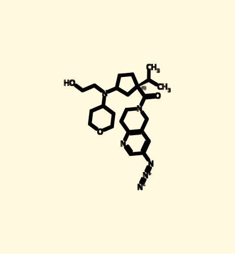 CC(C)[C@]1(C(=O)N2CCc3ncc(N=[N+]=[N-])cc3C2)CCC(N(CCO)C2CCOCC2)C1